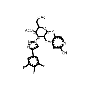 CC(=O)OCC1O[C@H](Sc2ccc(C#N)nc2)C(OC(C)=O)[C@@H](n2cc(-c3cc(F)c(F)c(F)c3)nn2)[C@H]1OC(C)=O